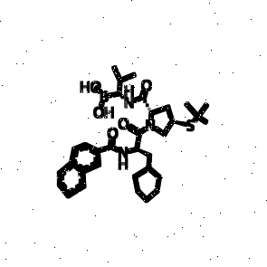 CC(C)[C@H](NC(=O)[C@@H]1C[C@@H](SC(C)(C)C)CN1C(=O)[C@@H](CC1CCCCC1)NC(=O)c1ccc2ccccc2c1)B(O)O